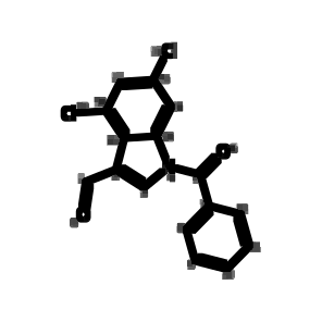 O=Cc1cn(C(=O)c2ccccc2)c2cc(Cl)cc(Cl)c12